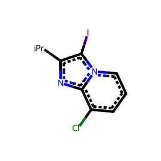 CC(C)c1nc2c(Cl)cccn2c1I